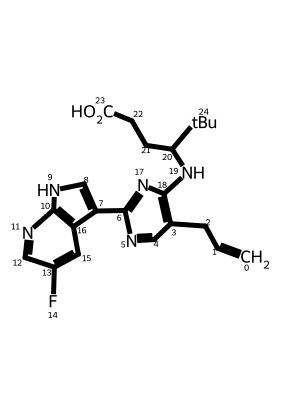 C=CCc1cnc(-c2c[nH]c3ncc(F)cc23)nc1NC(CCC(=O)O)C(C)(C)C